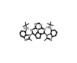 CC1=Nc2cccc(NC(C)(C)C)c2C1c1nc2ncnc3nc(-n4c(C)nc5cccc(NC(C)(C)C)c54)c4ccc1c4n23